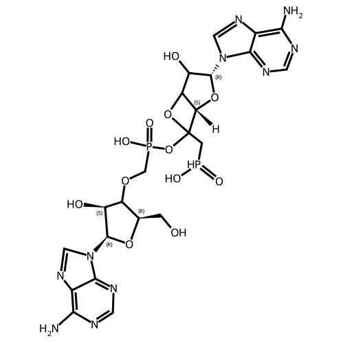 Nc1ncnc2c1ncn2[C@@H]1O[C@H]2C(OC2(C[PH](=O)O)OP(=O)(O)COC2[C@@H](CO)O[C@@H](n3cnc4c(N)ncnc43)[C@H]2O)C1O